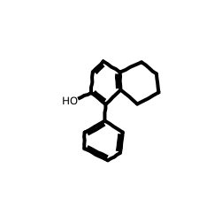 Oc1ccc2c(c1-c1ccccc1)CCCC2